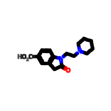 O=C(O)c1ccc2c(c1)CC(=O)N2CCN1CCCCC1